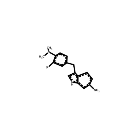 CN(C)c1ccc(Cc2c[nH]c3cc([N+](=O)[O-])ccc23)cc1Br